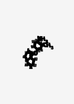 Cc1cc(OC2=CC3CC4C=CC=CC24C3)ccc1N